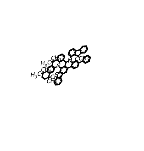 CC1(C)CCC(C)(C)c2cc3c(cc21)N1c2c(cccc2C3(C)C)C2c3c(cc4c(sc5ccccc54)c31)-c1ccc(-c3ccccc3)cc1N2c1cccc2c1C(C)(C)c1ccccc1-2